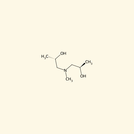 C[C@H](O)CN(C)C[C@@H](C)O